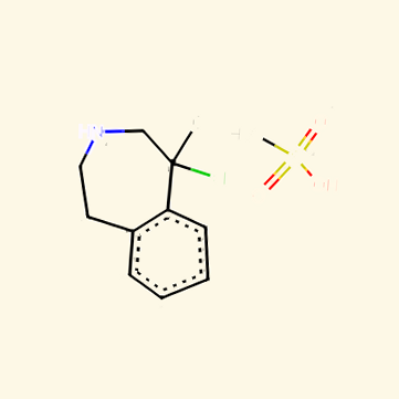 CC1(Cl)CNCCc2ccccc21.CS(=O)(=O)O